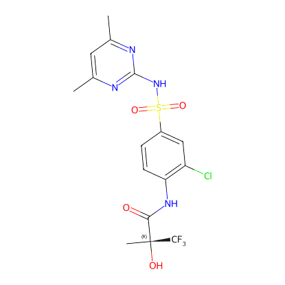 Cc1cc(C)nc(NS(=O)(=O)c2ccc(NC(=O)[C@@](C)(O)C(F)(F)F)c(Cl)c2)n1